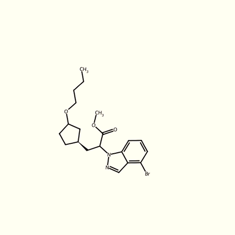 CCCCOC1CC[C@H](CC(C(=O)OC)n2ncc3c(Br)cccc32)C1